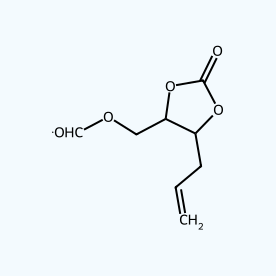 C=CCC1OC(=O)OC1CO[C]=O